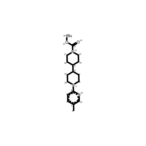 Cc1ccc(N2CCC(C3CCN(C(=O)OC(C)(C)C)CC3)CC2)nc1